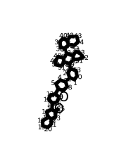 c1cc(-c2ccc3c(c2)oc2c3ccc3c4cc5ccccc5cc4oc32)cc(-c2c3ccccc3c(-c3cccc4ccccc34)c3ccccc23)c1